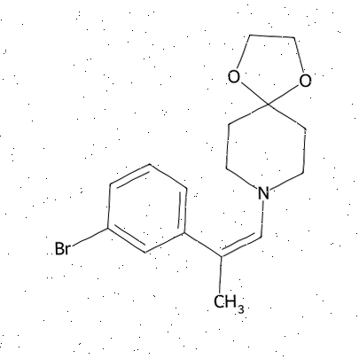 CC(=CN1CCC2(CC1)OCCO2)c1cccc(Br)c1